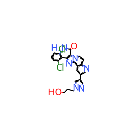 NC(=O)c1c(-c2c(Cl)cccc2Cl)nc2c3cc(-c4cnn(CCCO)c4)cnc3ccn12